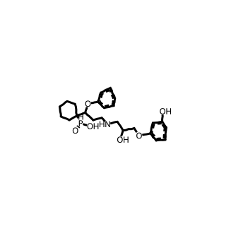 O=[PH](O)C1(C(CCNCC(O)COc2cccc(O)c2)Oc2ccccc2)CCCCC1